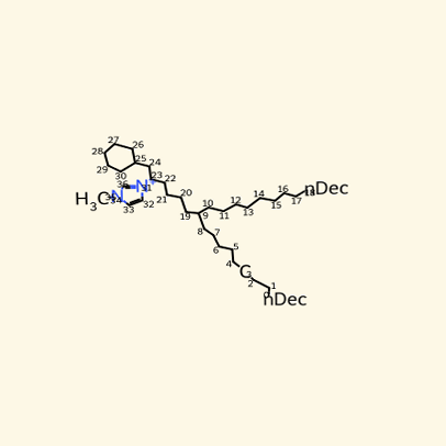 CCCCCCCCCCCCCCCCCCC(CCCCCCCCCCCCCCCCCC)CCCCC(CC1CCCCC1)[n+]1ccn(C)c1